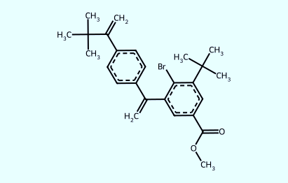 C=C(c1ccc(C(=C)C(C)(C)C)cc1)c1cc(C(=O)OC)cc(C(C)(C)C)c1Br